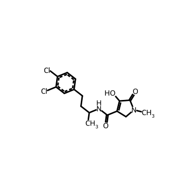 CC(CCc1ccc(Cl)c(Cl)c1)NC(=O)C1=C(O)C(=O)N(C)C1